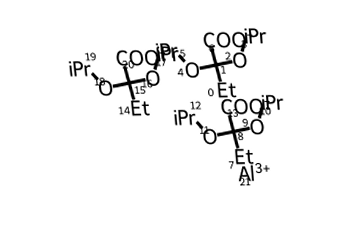 CCC(OC(C)C)(OC(C)C)C(=O)[O-].CCC(OC(C)C)(OC(C)C)C(=O)[O-].CCC(OC(C)C)(OC(C)C)C(=O)[O-].[Al+3]